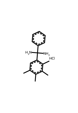 Cc1cc(C(N)(N)c2ccccc2)c(C)c(C)c1C.Cl